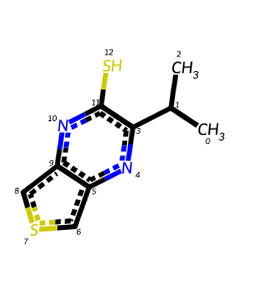 CC(C)c1nc2cscc2nc1S